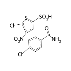 NC(=O)c1ccc(Cl)cc1.O=[N+]([O-])c1cc(S(=O)(=O)O)sc1Cl